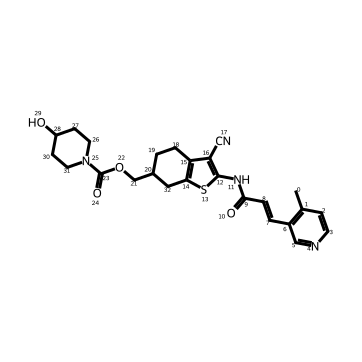 Cc1ccncc1C=CC(=O)Nc1sc2c(c1C#N)CCC(COC(=O)N1CCC(O)CC1)C2